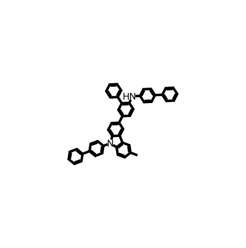 Cc1ccc2c(c1)c1cc(-c3ccc(Nc4ccc(-c5ccccc5)cc4)c(-c4ccccc4)c3)ccc1n2-c1ccc(-c2ccccc2)cc1